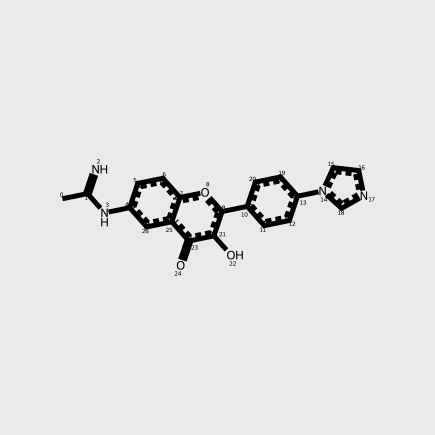 CC(=N)Nc1ccc2oc(-c3ccc(-n4ccnc4)cc3)c(O)c(=O)c2c1